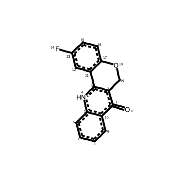 O=c1c2c([nH]c3ccccc13)-c1cc(F)ccc1OC2